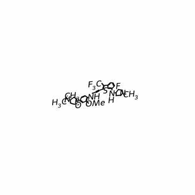 COc1cc(P2(=O)CCC(N(C)C)CC2)ccc1NCC#Cc1sc2c(NC3CCN(C)C[C@@H]3F)cccc2c1CC(F)(F)F